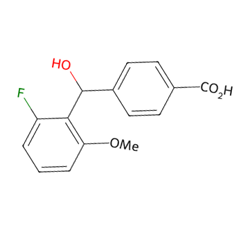 COc1cccc(F)c1C(O)c1ccc(C(=O)O)cc1